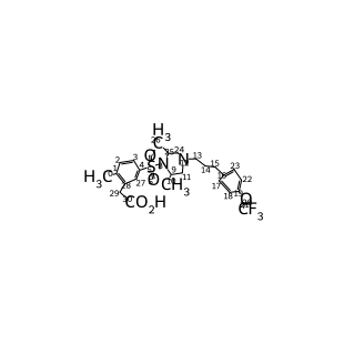 Cc1ccc(S(=O)(=O)N2C(C)CN(CCCc3ccc(OC(F)(F)F)cc3)CC2C)cc1CC(=O)O